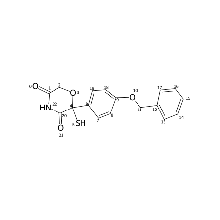 O=C1COC(S)(c2ccc(OCc3ccccc3)cc2)C(=O)N1